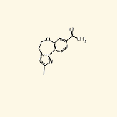 CC(=O)c1ccc2c(c1)OCCn1cc(I)nc1-2